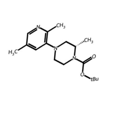 Cc1cnc(C)c(N2CCN(C(=O)OC(C)(C)C)[C@@H](C)C2)c1